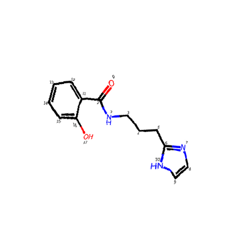 O=C(NCCCc1ncc[nH]1)c1ccccc1O